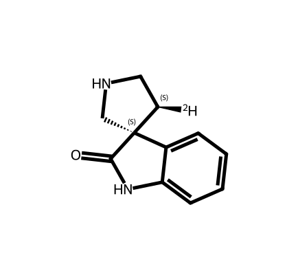 [2H][C@@H]1CNC[C@]12C(=O)Nc1ccccc12